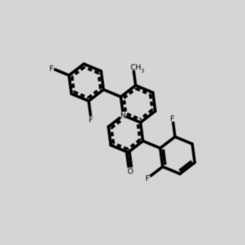 Cc1ccc2c(C3=C(F)C=CCC3F)c(=O)ccn2c1-c1ccc(F)cc1F